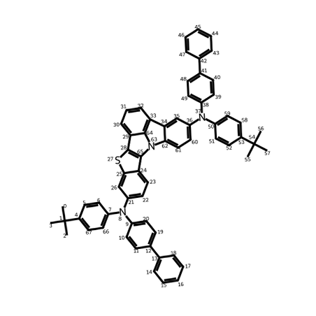 CC(C)(C)c1ccc(N(c2ccc(-c3ccccc3)cc2)c2ccc3c(c2)sc2c4cccc5c6cc(N(c7ccc(-c8ccccc8)cc7)c7ccc(C(C)(C)C)cc7)ccc6n(c54)c32)cc1